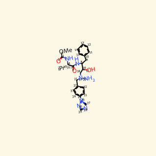 COC(=O)N[C@H](C(=O)NC(Cc1ccccc1)C(O)CN(N)Cc1ccc(-n2cncn2)cc1)C(C)C